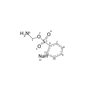 NCOS(=O)(=O)c1ccccc1.[NaH]